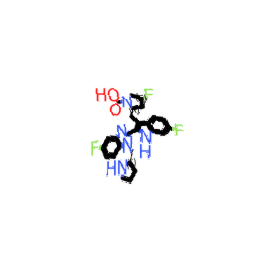 O=C(O)N1C[C@@H](F)C[C@H]1Cc1c(-c2nc3cc(F)ccc3n2C[C@@H]2CCCN2)[nH]c2cc(F)ccc12